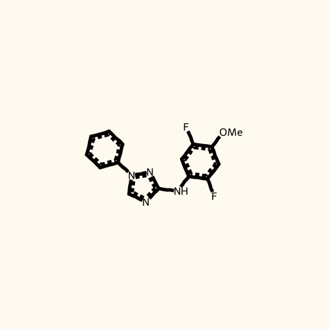 COc1cc(F)c(Nc2ncn(-c3ccccc3)n2)cc1F